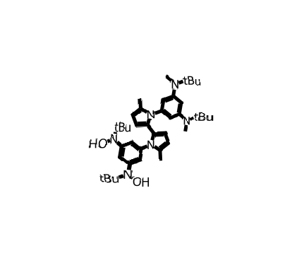 Cc1ccc(-c2ccc(C)n2-c2cc(N(O)C(C)(C)C)cc(N(O)C(C)(C)C)c2)n1-c1cc(N(C)C(C)(C)C)cc(N(C)C(C)(C)C)c1